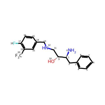 N[C@@H](Cc1ccccc1)[C@H](O)CNCc1ccc(F)c(C(F)(F)F)c1